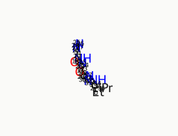 CCc1ccc(Nc2nc3cc(Oc4ccnc(C(=O)NCCCn5ccnc5)c4)ccc3n2C)cc1C(C)C